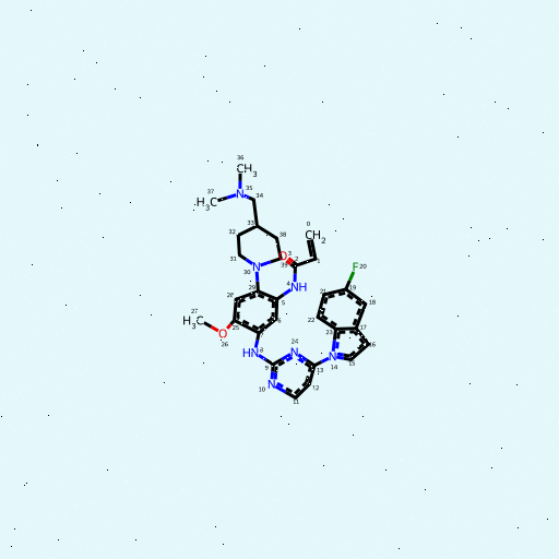 C=CC(=O)Nc1cc(Nc2nccc(-n3ccc4cc(F)ccc43)n2)c(OC)cc1N1CCC(CN(C)C)CC1